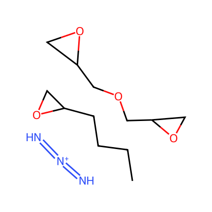 C(OCC1CO1)C1CO1.CCCCC1CO1.N=[N+]=N